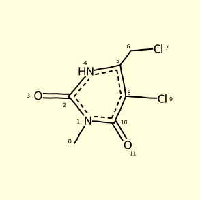 Cn1c(=O)[nH]c(CCl)c(Cl)c1=O